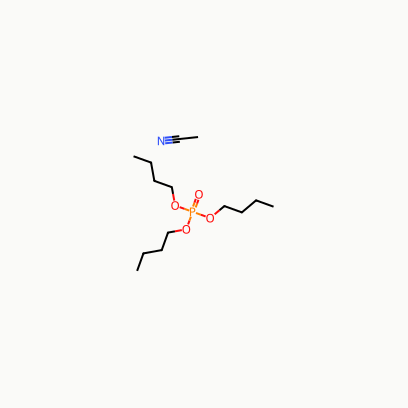 CC#N.CCCCOP(=O)(OCCCC)OCCCC